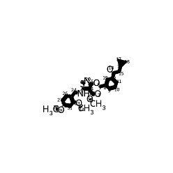 COC(=O)c1c(OCc2cccc(C(=O)CC3CC3)c2)nsc1NCc1ccc(OC)cc1OC